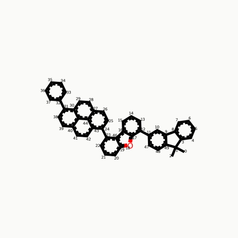 CC1(C)c2ccccc2-c2cc(-c3cccc4c3oc3cccc(-c5ccc6ccc7c(-c8ccccc8)ccc8ccc5c6c87)c34)ccc21